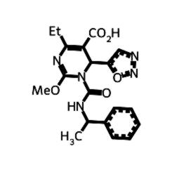 CCC1=C(C(=O)O)C(c2cnno2)N(C(=O)NC(C)c2ccccc2)C(OC)=N1